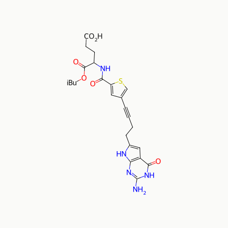 CCC(C)OC(=O)C(CCC(=O)O)NC(=O)c1cc(C#CCCc2cc3c(=O)[nH]c(N)nc3[nH]2)cs1